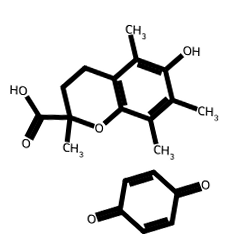 Cc1c(C)c2c(c(C)c1O)CCC(C)(C(=O)O)O2.O=C1C=CC(=O)C=C1